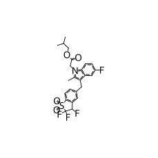 Cc1c(Cc2ccc3c(c2)C(F)C(F)(F)S3(=O)=O)c2cc(F)ccc2n1CC(=O)OCC(C)C